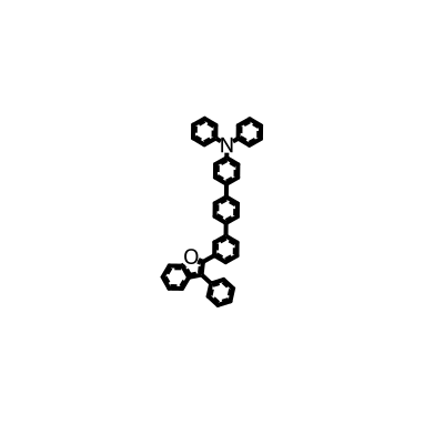 c1ccc(-c2c(-c3cccc(-c4ccc(-c5ccc(N(c6ccccc6)c6ccccc6)cc5)cc4)c3)oc3ccccc23)cc1